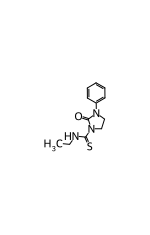 CCNC(=S)N1CCN(c2ccccc2)C1=O